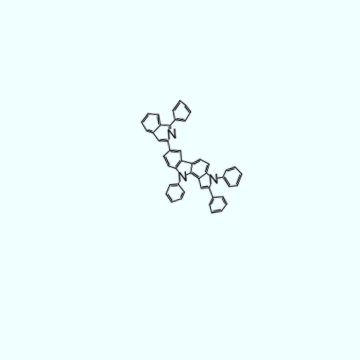 c1ccc(-c2nc(-c3ccc4c(c3)c3ccc5c(cc(-c6ccccc6)n5-c5ccccc5)c3n4-c3ccccc3)cc3ccccc23)cc1